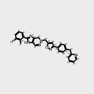 Fc1cccc(-c2nc3c([nH]2)C=NN(Cc2cc(-c4ccc(Cc5ccccn5)cc4)no2)C3)c1F